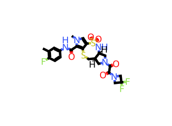 Cc1cc(NC(=O)c2c3c(cn2C)S(=O)(=O)N[C@H]2CN(C(=O)C(=O)N4CC(F)(F)C4)C[C@H]2CS3)ccc1F